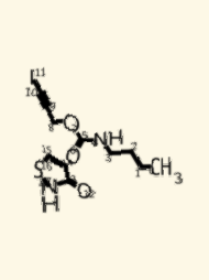 CCCCNC(=O)OCC#CI.O=c1ccs[nH]1